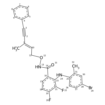 CC(C#Cc1ccccc1)=CCONC(=O)c1ccc(F)c(F)c1Nc1ccc(Br)cc1C